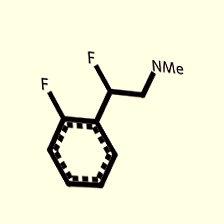 CNCC(F)c1ccccc1F